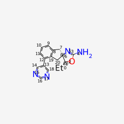 CC[C@@H]1OC(N)=N[C@@]12Cc1cccc(-c3cncnc3)c1C2